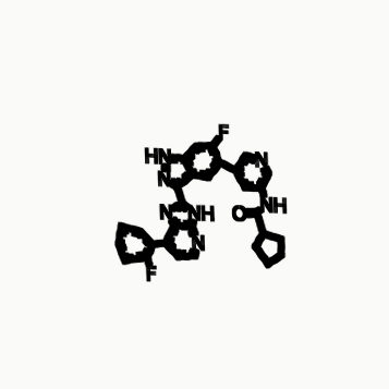 O=C(Nc1cncc(-c2cc3c(-c4nc5c(-c6ccccc6F)ccnc5[nH]4)n[nH]c3cc2F)c1)C1CCCC1